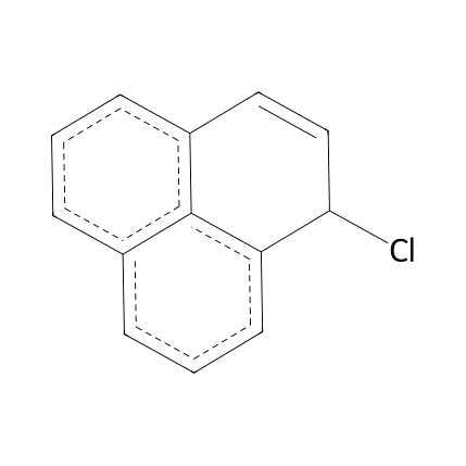 ClC1C=Cc2cccc3cccc1c23